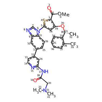 COC(=O)c1sc(-n2cnc3cc(-c4ccnc(NC(=O)CN(C)C)c4)ccc32)cc1O[C@H](C)c1ccccc1C(F)(F)F